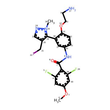 COc1cc(F)c(C(=O)Nc2ccc(OCCN)c(-c3c(CI)cnn3C)c2)c(F)c1